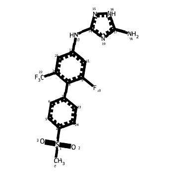 CS(=O)(=O)c1ccc(-c2c(F)cc(Nc3n[nH]c(N)n3)cc2C(F)(F)F)cc1